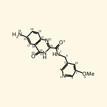 COc1cncc(CNC(=O)c2nc3ccc(N)cc3c(=O)[nH]2)c1